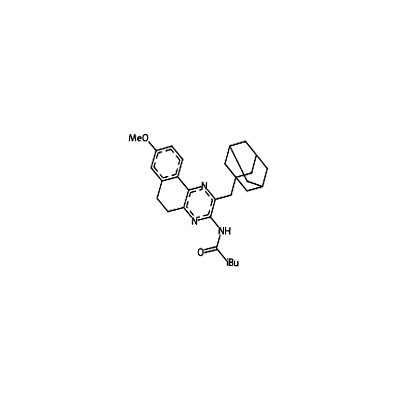 CCC(C)C(=O)Nc1nc2c(nc1CC13CC4CC(CC(C4)C1)C3)-c1ccc(OC)cc1CC2